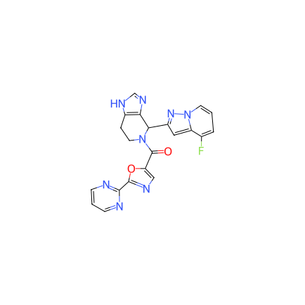 O=C(c1cnc(-c2ncccn2)o1)N1CCc2[nH]cnc2C1c1cc2c(F)cccn2n1